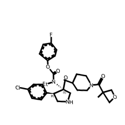 CCN(C(=O)Oc1ccc(F)cc1)[C@]1(C(=O)C2CCN(C(=O)C3(C)COC3)CC2)CNC[C@H]1c1ccc(Cl)cc1